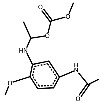 COC(=O)OC(C)Nc1cc(NC(C)=O)ccc1OC